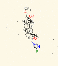 COCC[C@@]1(O)CC[C@@]2(C)[C@@H](CC[C@@H]3[C@@H]2CC[C@]2(C)[C@H](C(=O)Cn4cnc(F)c4)CC[C@@H]32)C1